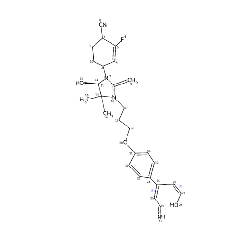 C=C1N(C2C=C(F)C(C#N)CC2)[C@H](O)C(C)(C)N1CCCOc1ccc(C(/C=C\O)=C/C=N)cc1